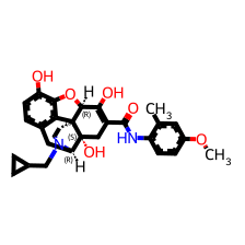 COc1ccc(NC(=O)C2=C(O)[C@@H]3Oc4c(O)ccc5c4[C@@]34CCN(CC3CC3)[C@H](C5)[C@]4(O)C2)c(C)c1